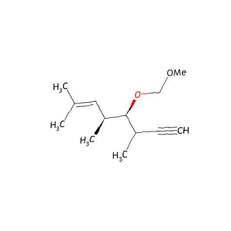 C#CC(C)[C@H](OCOC)[C@@H](C)C=C(C)C